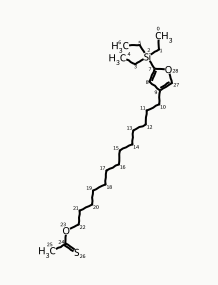 CC[Si](CC)(CC)c1cc(CCCCCCCCCCCCCOC(C)=S)co1